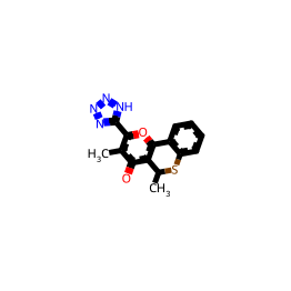 Cc1c(-c2nnn[nH]2)oc2c(c1=O)C(C)Sc1ccccc1-2